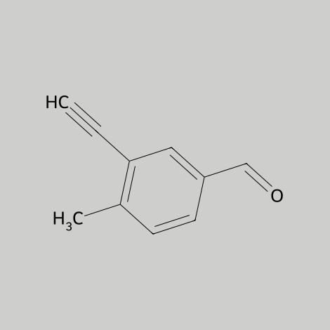 C#Cc1cc(C=O)ccc1C